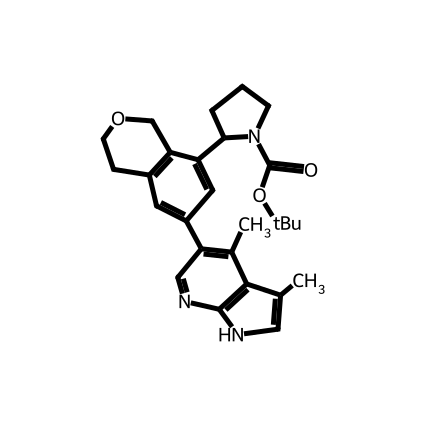 Cc1c[nH]c2ncc(-c3cc4c(c(C5CCCN5C(=O)OC(C)(C)C)c3)COCC4)c(C)c12